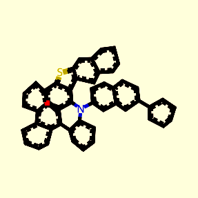 c1ccc(-c2ccc3ccc(N(c4ccccc4-c4cc5ccccc5c5ccccc45)c4cccc5sc6cc7ccccc7cc6c45)cc3c2)cc1